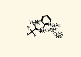 CC(=O)O[BH-](OC(C)=O)OC(C)=O.Nc1cccnc1Cl.O=C(O)C(F)(F)F.[Na+]